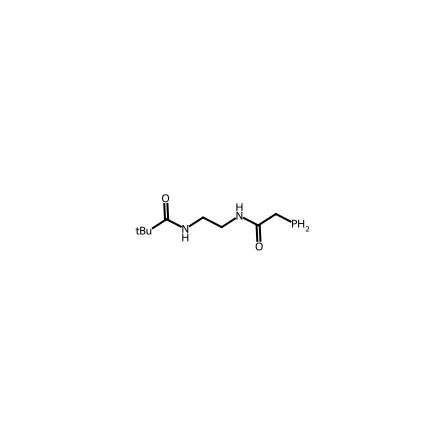 CC(C)(C)C(=O)NCCNC(=O)CP